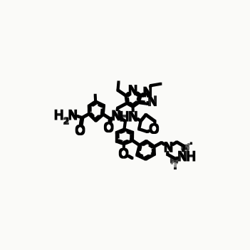 CCc1nc2c(cnn2CC)c(NC2CCOCC2)c1CN(Cc1ccc(OC)c(-c2cccc(CN3C[C@@H](C)N[C@@H](C)C3)c2)c1)C(=O)c1cc(C)cc(C(N)=O)c1